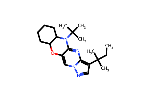 CCC(C)(C)c1cnn2cc3c(nc12)N(C(C)(C)C)C1CCCCC1O3